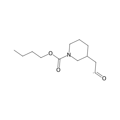 CCCCOC(=O)N1CCCC(C[C]=O)C1